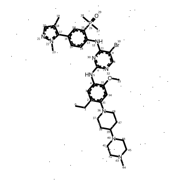 CCc1cc(Nc2ncc(Br)c(Nc3ccc(-c4c(C)cnn4C)cc3P(C)(C)=O)n2)c(OC)cc1N1CCC(N2CCN(C)CC2)CC1